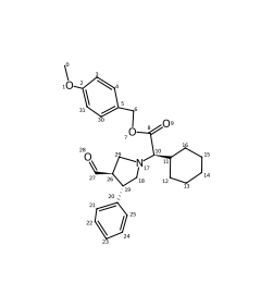 COc1ccc(COC(=O)[C@@H](C2CCCCC2)N2C[C@H](c3ccccc3)[C@@H](C=O)C2)cc1